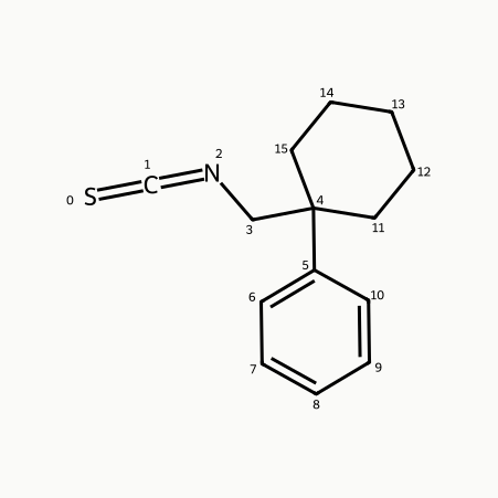 S=C=NCC1(c2ccccc2)CCCCC1